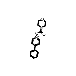 O=C(O[n+]1ccc(-c2ccccc2)cc1)N1CCOCC1